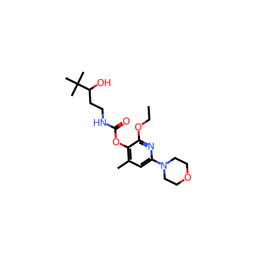 CCOc1nc(N2CCOCC2)cc(C)c1OC(=O)NCCC(O)C(C)(C)C